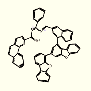 N=C(/N=C(\N=C\c1cc(-c2cc(-c3cccc4c3oc3ccccc34)cc3oc4ccccc4c23)c2ccccc2c1)c1ccccc1)c1ccc2ccc3ccccc3c2c1